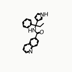 CCC(NC(=O)c1ccc2ncccc2c1)(c1ccccc1)c1cc[nH]c1